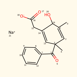 CC1=CC(C)(C(=O)c2ccccc2)C=C(CC(=O)[O-])C1O.[Na+]